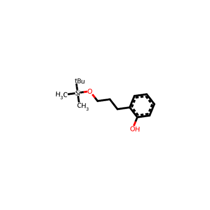 CC(C)(C)[Si](C)(C)OCCCc1ccccc1O